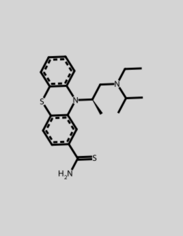 CCN(C[C@@H](C)N1c2ccccc2Sc2ccc(C(N)=S)cc21)C(C)C